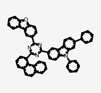 c1ccc(-c2ccc3c4cc(-c5nc(-c6ccc7oc8ccccc8c7c6)nc(-c6cccc7ccc8ccccc8c67)n5)ccc4n(-c4ccccc4)c3c2)cc1